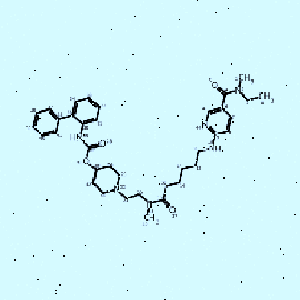 CCN(C)C(=O)c1ccc(NCCCCCC(=O)N(C)CCN2CCC(OC(=O)Nc3ccccc3-c3ccccc3)CC2)nc1